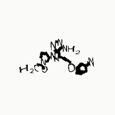 C=CC(=O)N1CCC[C@@H](n2nc(C#CCOc3cccc(C#N)c3)c3c(N)ncnc32)C1